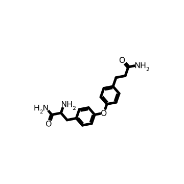 NC(=O)CCc1ccc(Oc2ccc(CC(N)C(N)=O)cc2)cc1